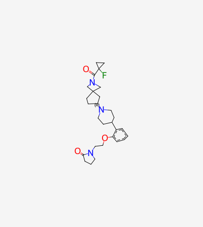 O=C1CCCN1CCOc1ccccc1C1CCN([C@@H]2CCC3(C2)CN(C(=O)C2(F)CC2)C3)CC1